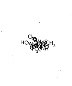 CSOC[C@@H]1N=C(c2ccc(Cl)cc2)c2cc(C(=O)NCCO)ccc2N(C(C)=N)C1=N